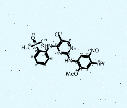 CCCc1cc(OC)c(Nc2ncc(Cl)c(Nc3ccccc3P(C)(C)=O)n2)cc1N=O